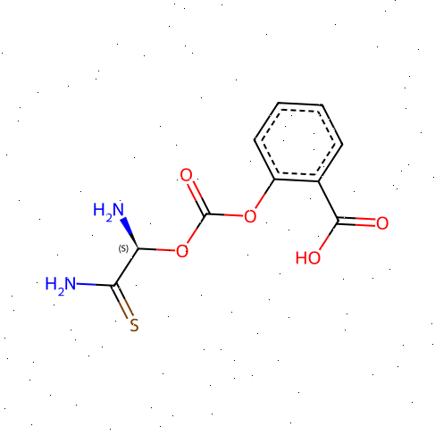 NC(=S)[C@@H](N)OC(=O)Oc1ccccc1C(=O)O